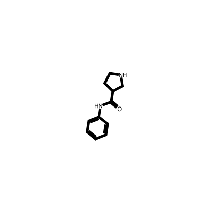 O=C(Nc1cc[c]cc1)C1CCNC1